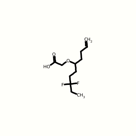 C=CCCC(CCC(F)(F)CC)OCC(=O)O